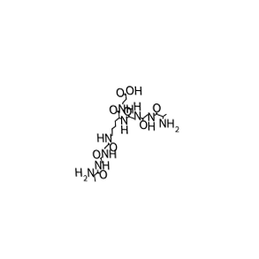 CC(N)C(=O)NCC(=O)NCC(=O)NCCCCC(NC(=O)CNC(=O)CNC(=O)C(C)N)C(=O)NCCC(=O)O